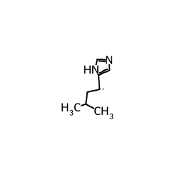 CC(C)C[CH]c1cnc[nH]1